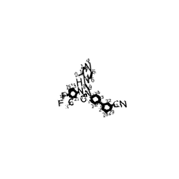 C[C@H]1CN(C)CCN1CCN(C(=O)Nc1ccc(F)c(C(F)(F)F)c1)c1ccc(-c2cccc(C#N)c2)cc1